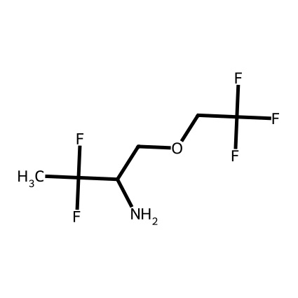 CC(F)(F)C(N)COCC(F)(F)F